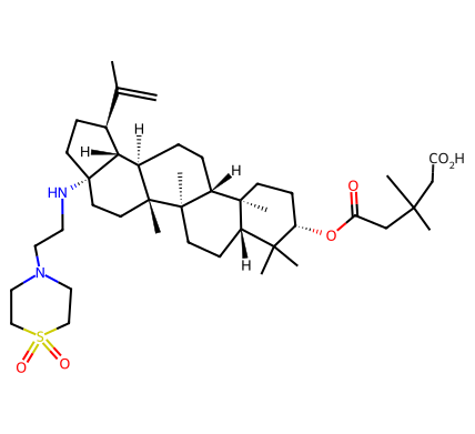 C=C(C)[C@@H]1CC[C@]2(NCCN3CCS(=O)(=O)CC3)CC[C@]3(C)[C@H](CC[C@@H]4[C@@]5(C)CC[C@H](OC(=O)CC(C)(C)CC(=O)O)C(C)(C)[C@@H]5CC[C@]43C)[C@@H]12